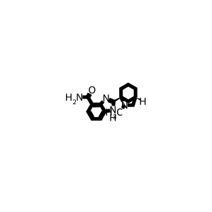 CN1C[C@@H]2CCC[C@]1(c1nc3c(C(N)=O)cccc3[nH]1)C2